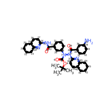 CC(C)(C)OC(=O)N(c1cccc(C(=O)Nc2ccc3ccccc3n2)c1)N(C(=O)c1cccc(N)c1)c1ccc2ccccc2n1